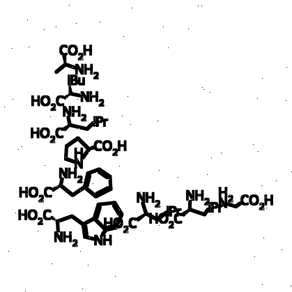 CC(C)C[C@H](N)C(=O)O.CC(C)C[C@H](N)C(=O)O.CC(C)C[C@H](N)C(=O)O.CC[C@H](C)[C@H](N)C(=O)O.C[C@H](N)C(=O)O.NCC(=O)O.N[C@@H](Cc1c[nH]c2ccccc12)C(=O)O.N[C@@H](Cc1ccccc1)C(=O)O.O=C(O)[C@@H]1CCCN1